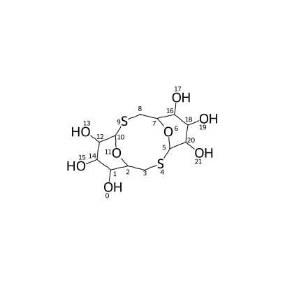 OC1C2CSC3OC(CSC(O2)C(O)C1O)C(O)C(O)C3O